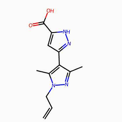 C=CCn1nc(C)c(-c2cc(C(=O)O)[nH]n2)c1C